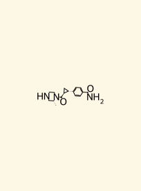 C[C@@H]1CNCCN1C(=O)[C@H]1C[C@@H]1c1ccc(C(N)=O)cc1